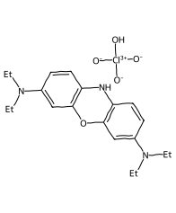 CCN(CC)c1ccc2c(c1)Oc1cc(N(CC)CC)ccc1N2.[O-][Cl+3]([O-])([O-])O